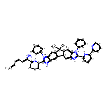 C=C/C=C\C=C(/N)C1=NC(c2nc3cc4c(cc3n2-c2ccccc2)C(C)(C)C2C=c3c(nc(-c5cccc(-c6ccccn6)n5)n3-c3ccccc3)=CC42)=CCC1